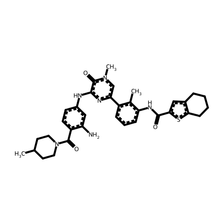 Cc1c(NC(=O)c2cc3c(s2)CCCC3)cccc1-c1cn(C)c(=O)c(Nc2ccc(C(=O)N3CCC(C)CC3)c(N)c2)n1